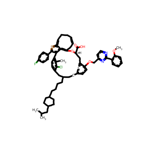 COc1ccccc1-c1nccc(COc2ccc3cc2C[C@H](C(=O)O)O/C2=c4\c(c(-c5ccc(F)cc5)s\c4=C\CC/C=C\C2)-c2ccc(c(Cl)c2C)CC(CCCCC2CCC(CC(C)C)CC2)CC3)n1